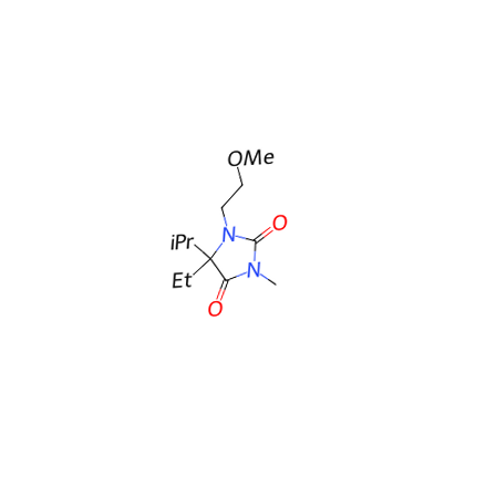 CCC1(C(C)C)C(=O)N(C)C(=O)N1CCOC